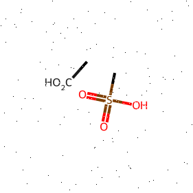 CC(=O)O.CS(=O)(=O)O